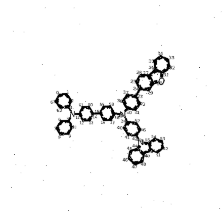 c1ccc(N(c2ccccc2)c2ccc(-c3ccc(N(c4ccc(-c5ccc6c(c5)oc5ccccc56)cc4)c4ccc(-n5c6ccccc6c6ccccc65)cc4)cc3)cc2)cc1